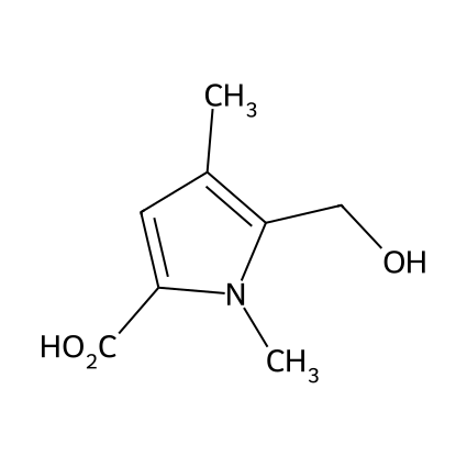 Cc1cc(C(=O)O)n(C)c1CO